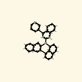 c1cncc(-c2nc(N3c4cc5ccccc5cc4-c4cccc5cccc3c45)nc3ccccc23)c1